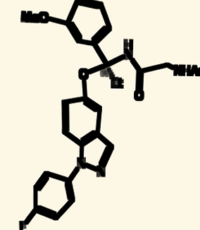 CC[C@](NC(=O)CNC(C)=O)(Oc1ccc2c(cnn2-c2ccc(F)cc2)c1)c1cccc(OC)c1